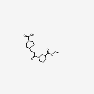 CCOC(=O)C1CCCN(C(=O)CCC2CCN(C(=O)O)CC2)C1